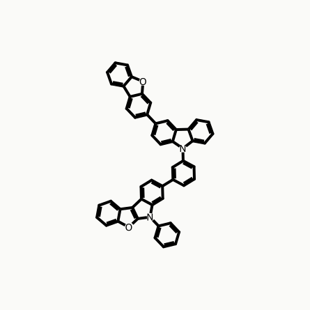 c1ccc(-n2c3cc(-c4cccc(-n5c6ccccc6c6cc(-c7ccc8c(c7)oc7ccccc78)ccc65)c4)ccc3c3c4ccccc4oc32)cc1